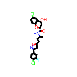 C=C(CCc1cc(-c2ccc(Cl)c(F)c2)no1)NC(=O)[C@@H]1C[C@@H](O)c2cc(Cl)ccc2O1